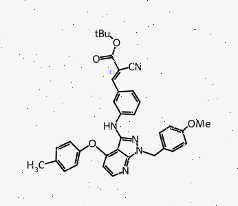 COc1ccc(Cn2nc(Nc3cccc(/C=C(\C#N)C(=O)OC(C)(C)C)c3)c3c(Oc4ccc(C)cc4)ccnc32)cc1